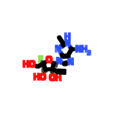 C#C[C@]1(O)[C@H](n2cnc3c2N=C(C)NC3N)O[C@](F)(CO)[C@H]1O